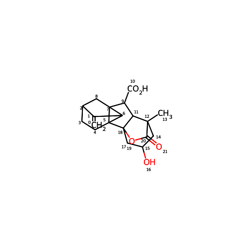 C=C1C2CCC34C1C3(C2)C(C(=O)O)C1C2(C)CC(O)CC14OC2=O